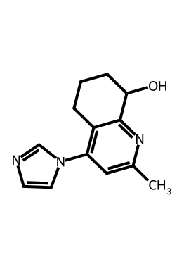 Cc1cc(-n2ccnc2)c2c(n1)C(O)CCC2